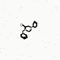 ClC1CN(c2cc[c]cc2)CCN1Cc1ccccc1